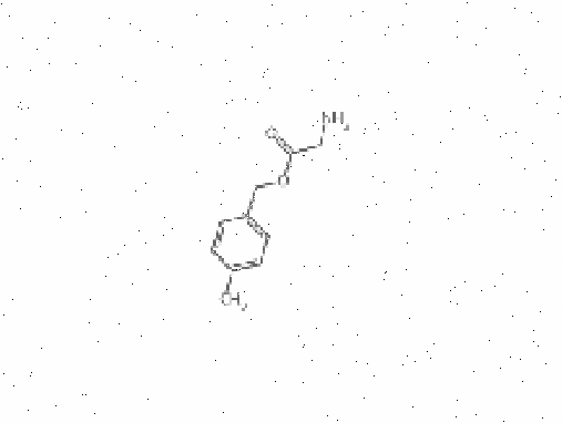 Cc1ccc(COC(=O)CN)cc1